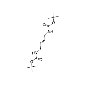 CC(C)(C)OC(=O)NCC=CCNC(=O)OC(C)(C)C